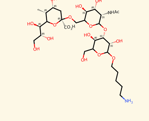 CC(=O)N[C@@H]1C(O[C@H]2[C@H](O)C(CO)OC(OCCCCCN)[C@H]2O)OC(CO[C@]2(C(=O)O)C[C@@H](O)[C@@H](C)C([C@H](O)[C@H](O)CO)O2)[C@@H](O)[C@@H]1O